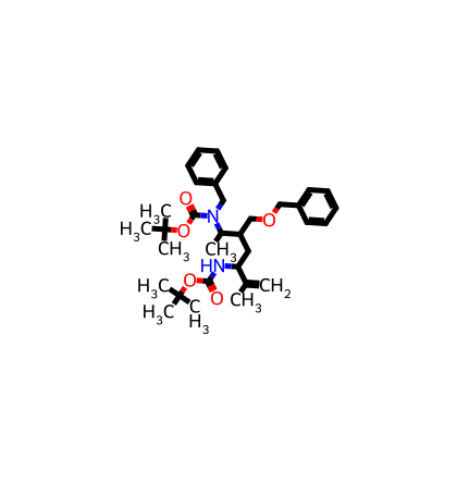 C=C(C)C(CC(COCc1ccccc1)C(C)N(Cc1ccccc1)C(=O)OC(C)(C)C)NC(=O)OC(C)(C)C